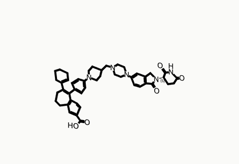 O=C1CC[C@H](N2Cc3cc(N4CCN(CC5CCN(c6ccc(C7=C(C8=CCCCC8)CCCc8cc(C(=O)O)ccc87)cc6)CC5)CC4)ccc3C2=O)C(=O)N1